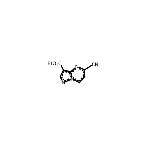 CCOC(=O)c1cnn2ccc(C#N)nc12